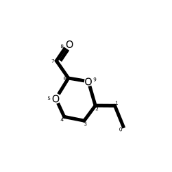 CCC1CCOC(C=O)O1